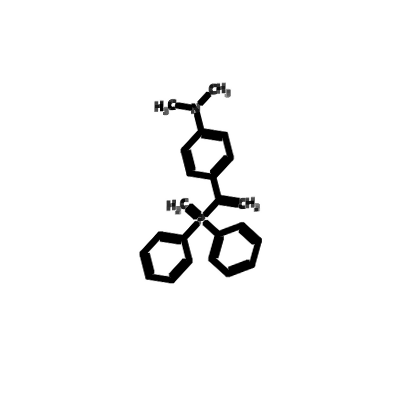 C=C(c1ccc(N(C)C)cc1)P(=C)(c1ccccc1)c1ccccc1